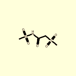 CS(=O)(=O)CC(=O)NS(C)(=O)=O